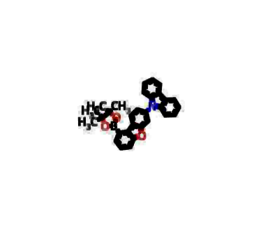 CC1(C)OB(c2cccc3oc4cc(-n5c6ccccc6c6ccccc65)ccc4c23)OC1(C)C